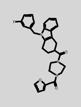 O=C(c1ccco1)N1CCN(C(=O)C2CCc3c(c4ccccc4n3Cc3cccc(F)c3)C2)CC1